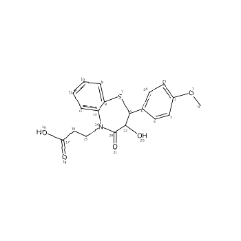 COc1ccc(C2Sc3ccccc3N(CCC(=O)O)C(=O)C2O)cc1